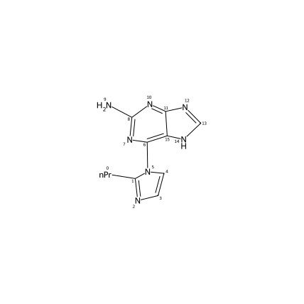 CCCc1nccn1-c1nc(N)nc2nc[nH]c12